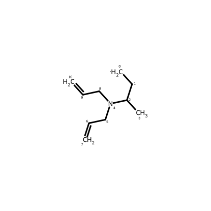 [CH2]CC(C)N(CC=C)CC=C